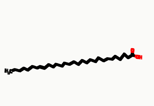 CCCCCCCC=CCCCCCCCCCCCCCCCCCCCCC(=O)O